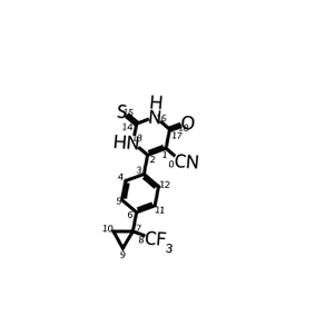 N#Cc1c(-c2ccc(C3(C(F)(F)F)CC3)cc2)[nH]c(=S)[nH]c1=O